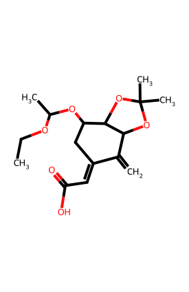 C=C1C(=CC(=O)O)CC(OC(C)OCC)C2OC(C)(C)OC12